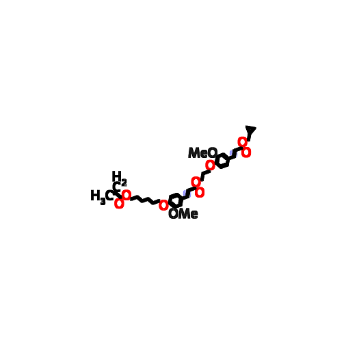 C=C(C)C(=O)OCCCCCCOc1ccc(/C=C/C(=O)OCCCOc2ccc(/C=C/C(=O)OCC3CC3)cc2OC)cc1OC